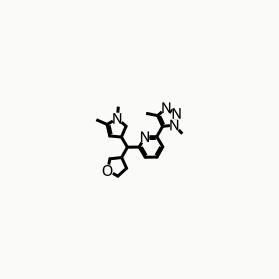 CC1=CC(C(c2cccc(-c3c(C)nnn3C)n2)C2CCOC2)CN1C